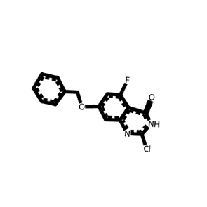 O=c1[nH]c(Cl)nc2cc(OCc3ccccc3)cc(F)c12